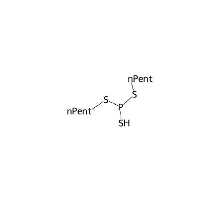 CCCCCSP(S)SCCCCC